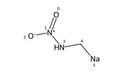 O=[N+]([O-])N[CH2][Na]